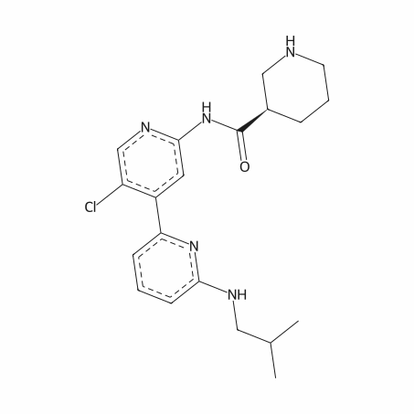 CC(C)CNc1cccc(-c2cc(NC(=O)[C@@H]3CCCNC3)ncc2Cl)n1